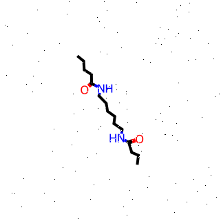 CCCCC(=O)NCCCCCCNC(=O)CCC